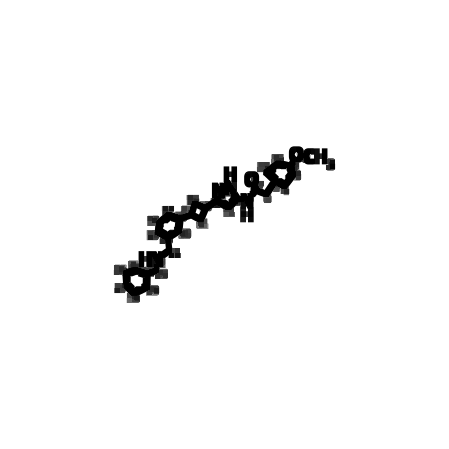 COc1ccc(CC(=O)Nc2cc(C3CC(c4cccc(CNCc5ccccc5)c4)C3)n[nH]2)cc1